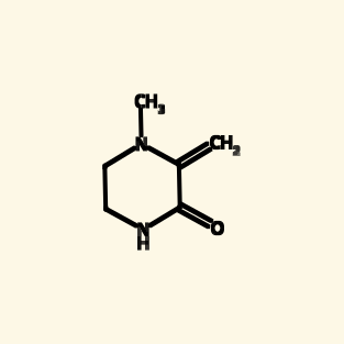 C=C1C(=O)NCCN1C